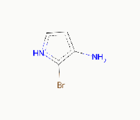 Nc1cc[nH]c1Br